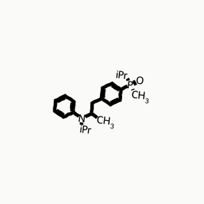 CC(C)N(c1ccccc1)C(C)Cc1ccc(P(C)(=O)C(C)C)cc1